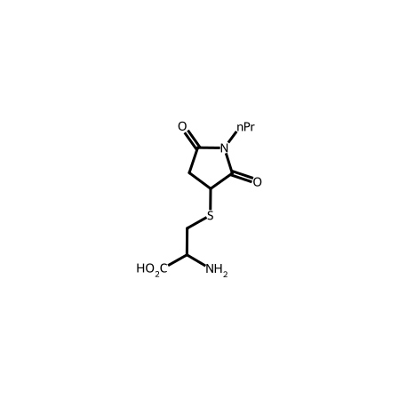 CCCN1C(=O)CC(SCC(N)C(=O)O)C1=O